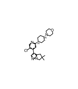 CC1(C)Cc2c(-c3cc([C@@H]4C[CH][C@@H](N5CCOCC5)CC4)ncc3Cl)cnn2C1